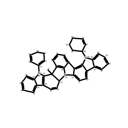 CC12c3cccc4c5c6c(ccc5n(c34)C1C=Cc1c2n(C2=CCCC=C2)c2ccccc12)c1ccccc1n6C1C=CCCC1